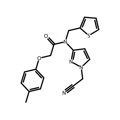 Cc1ccc(OCC(=O)N(Cc2cccs2)c2ccn(CC#N)n2)cc1